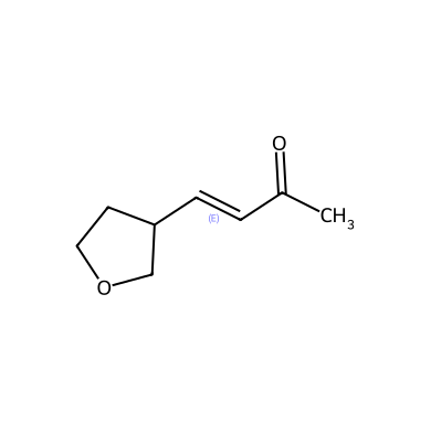 CC(=O)/C=C/C1CCOC1